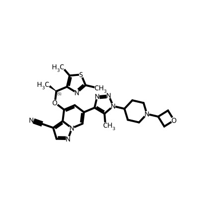 Cc1nc([C@H](C)Oc2cc(-c3nnn(C4CCN(C5COC5)CC4)c3C)cn3ncc(C#N)c23)c(C)s1